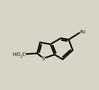 CC(=O)c1ccc2sc(C(=O)O)cc2c1